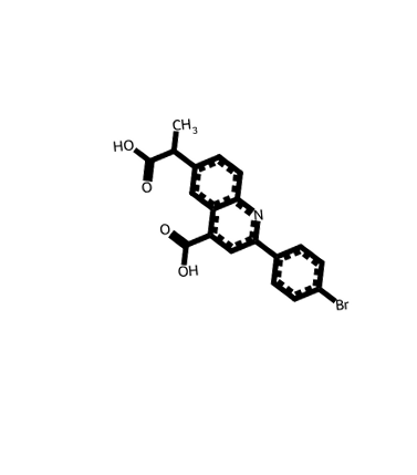 CC(C(=O)O)c1ccc2nc(-c3ccc(Br)cc3)cc(C(=O)O)c2c1